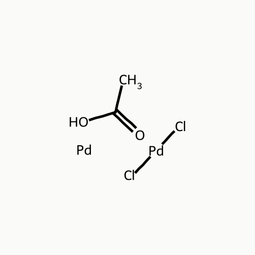 CC(=O)O.[Cl][Pd][Cl].[Pd]